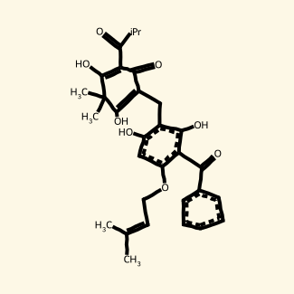 CC(C)=CCOc1cc(O)c(CC2=C(O)C(C)(C)C(O)=C(C(=O)C(C)C)C2=O)c(O)c1C(=O)c1ccccc1